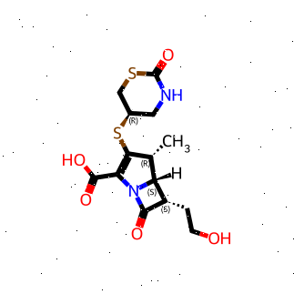 C[C@H]1C(S[C@@H]2CNC(=O)SC2)=C(C(=O)O)N2C(=O)[C@@H](CCO)[C@@H]12